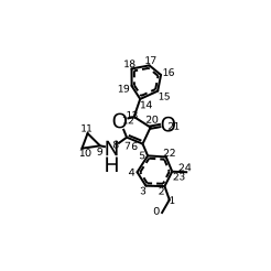 CCc1ccc(C2=C(NC3CC3)OC(c3ccccc3)C2=O)cc1C